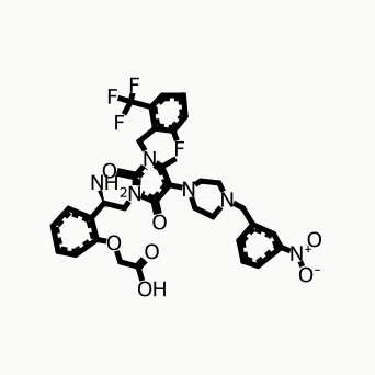 Cc1c(N2CCN(Cc3cccc([N+](=O)[O-])c3)CC2)c(=O)n(C[C@H](N)c2ccccc2OCC(=O)O)c(=O)n1Cc1c(F)cccc1C(F)(F)F